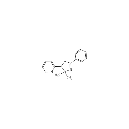 CC1(C)N=C(c2ccccc2)CC1c1ccccn1